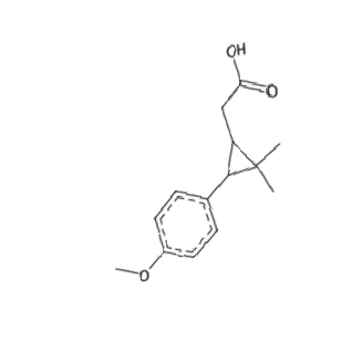 COc1ccc(C2C(CC(=O)O)C2(C)C)cc1